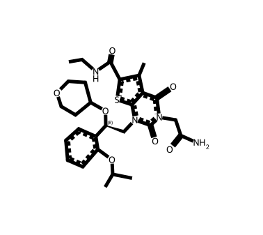 CCNC(=O)c1sc2c(c1C)c(=O)n(CC(N)=O)c(=O)n2C[C@H](OC1CCOCC1)c1ccccc1OC(C)C